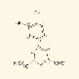 O=Cc1cc(OC(F)(F)F)cc(-c2ccc(F)c(F)c2)c1